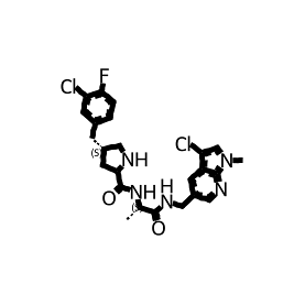 C[C@H](NC(=O)C1C[C@H](Cc2ccc(F)c(Cl)c2)CN1)C(=O)NCc1cnc2c(c1)c(Cl)cn2C